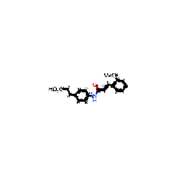 COc1ccccc1/C=C/C(=O)Nc1ccc(CCC(=O)O)cc1